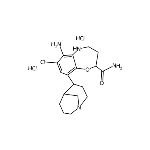 Cl.Cl.NC(=O)C1CCNc2c(N)c(Cl)cc(C3CCN4CCCC3C4)c2O1